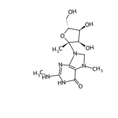 CNc1nc2c(c(=O)[nH]1)N(C)CN2[C@]1(C)O[C@H](CO)[C@@H](O)[C@H]1O